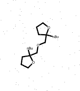 CCCCC1(COCC2(CCCC)CCCO2)CCCO1